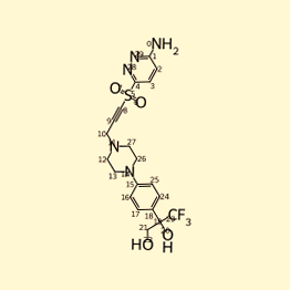 Nc1ccc(S(=O)(=O)C#CCN2CCN(c3ccc(C(O)(CO)C(F)(F)F)cc3)CC2)nn1